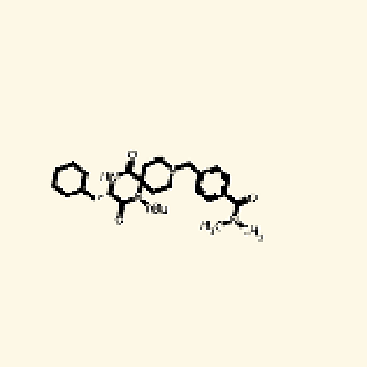 CCCCN1C(=O)[C@H](CC2CCCCC2)NC(=O)C12CCN(Cc1ccc(C(=O)N(C)C)cc1)CC2